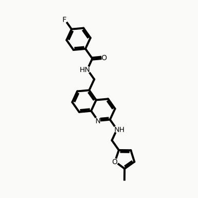 Cc1ccc(CNc2ccc3c(CNC(=O)c4ccc(F)cc4)cccc3n2)o1